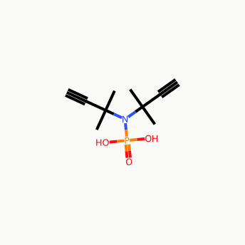 C#CC(C)(C)N(C(C)(C)C#C)P(=O)(O)O